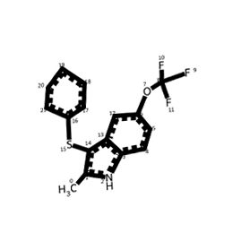 Cc1[nH]c2ccc(OC(F)(F)F)cc2c1Sc1ccccc1